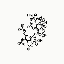 O=[SH](=O)OC[C@H]1O[C@@H](OC[C@@H](O[SH](=O)=O)[C@@H](OS(=O)(=O)O)[C@H](O[SH](=O)=O)[C@H](COS(=O)(=O)O)O[SH](=O)=O)[C@H](OS(=O)(=O)O)[C@@H](O[SH](=O)=O)[C@@H]1O[SH](=O)=O